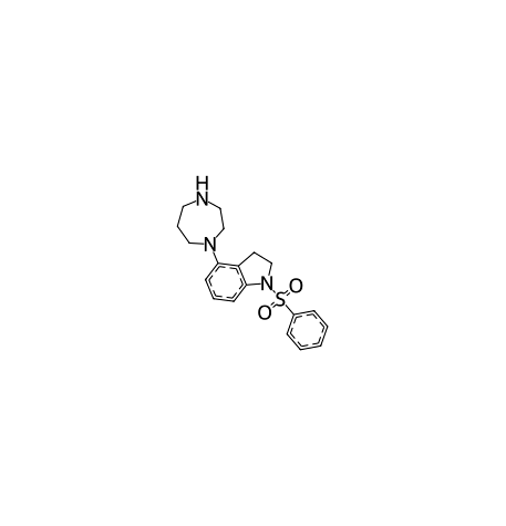 O=S(=O)(c1ccccc1)N1CCc2c(N3CCCNCC3)cccc21